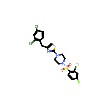 O=S(=O)(c1ccc(F)cc1Cl)N1CCN(c2nc(Cc3ccc(Cl)cc3Cl)cs2)CC1